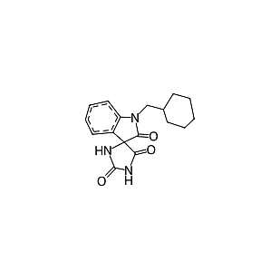 O=C1NC(=O)C2(N1)C(=O)N(CC1CCCCC1)c1ccccc12